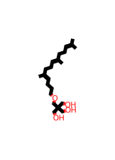 CC(C)=CCC/C(C)=C/CCC(C)=CCCCOCC(CO)(CO)CO